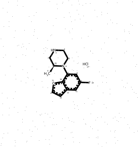 C[C@H]1CNCCN1c1cc(F)cc2ccoc12.Cl